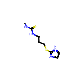 CNC(=S)NCCCSc1ncc[nH]1